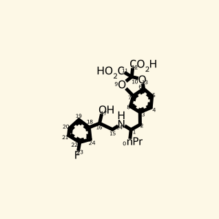 CCCC(Cc1ccc2c(c1)OC(C(=O)O)(C(=O)O)O2)NCC(O)c1cccc(F)c1